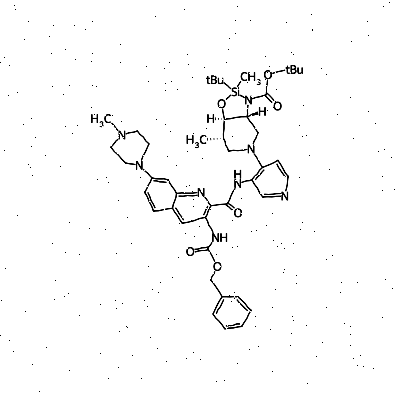 C[C@H]1CN(c2ccncc2NC(=O)c2nc3cc(N4CCN(C)CC4)ccc3cc2NC(=O)OCc2ccccc2)C[C@@H]2[C@@H]1O[Si](C)(C(C)(C)C)N2C(=O)OC(C)(C)C